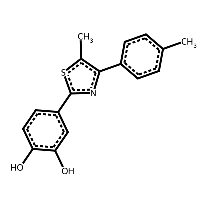 Cc1ccc(-c2nc(-c3ccc(O)c(O)c3)sc2C)cc1